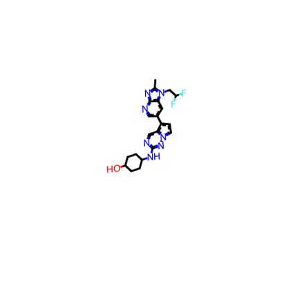 Cc1nc2ncc(-c3ccn4nc(NC5CCC(O)CC5)ncc34)cc2n1CC(F)F